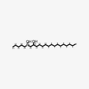 CCCCCCCCCCCCCCC(O)CN(O)CCCCC